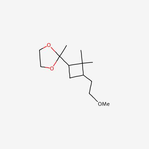 COCCC1CC(C2(C)OCCO2)C1(C)C